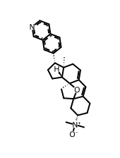 C[C@]12CC=C3C=C4CC[C@H]([N+](C)(C)[O-])CC45CC[C@]3(O5)[C@@H]1CC[C@@H]2c1ccc2ccncc2c1